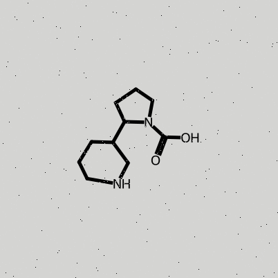 O=C(O)N1CCCC1C1CCCNC1